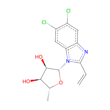 C=Cc1nc2cc(Cl)c(Cl)cc2n1[C@@H]1O[C@H](C)[C@@H](O)[C@H]1O